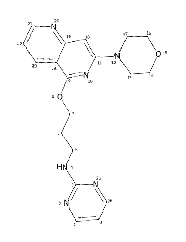 c1cnc(NCCCOc2nc(N3CCOCC3)cc3ncccc23)nc1